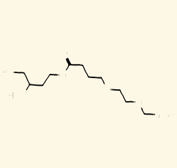 CCCCCCCCCCCOCCOCCCC(=O)OCCC(C)CC(C)(C)C